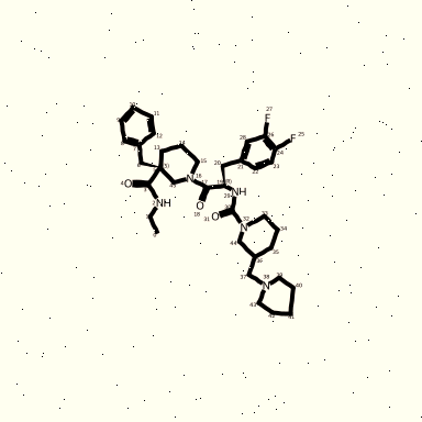 CCNC(=O)[C@]1(Cc2ccccc2)CCCN(C(=O)[C@@H](Cc2ccc(F)c(F)c2)NC(=O)N2CCCC(CN3CCCCC3)C2)C1